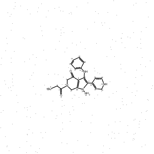 CC(C)(C)CC(=O)N1CC(=O)c2c(Nc3ccccc3)c(C3=CCNC=C3)n(N)c2C1